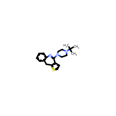 CC(C)(C)N1CCN(C2=Nc3ccccc3Cc3sccc32)CC1